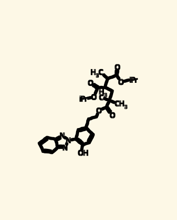 CC(C)OC(=O)C(C)C(CC(C)(C)C(=O)OCCc1ccc(O)c(-n2nc3ccccc3n2)c1)C(=O)OC(C)C